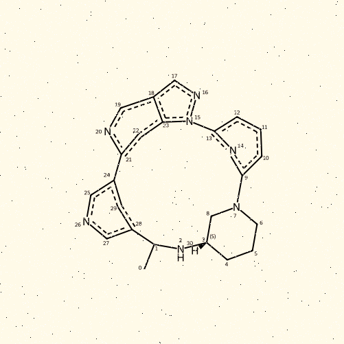 CC1N[C@H]2CCCN(C2)c2cccc(n2)-n2ncc3cnc(cc32)-c2cncc1c2